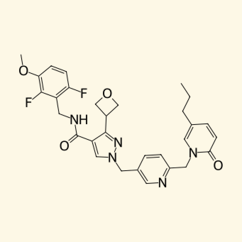 CCCc1ccc(=O)n(Cc2ccc(Cn3cc(C(=O)NCc4c(F)ccc(OC)c4F)c(C4COC4)n3)cn2)c1